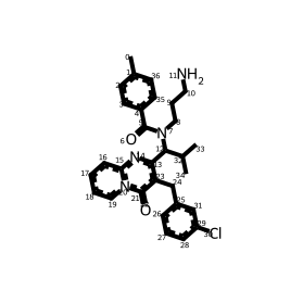 Cc1ccc(C(=O)N(CCCN)C(c2nc3ccccn3c(=O)c2Cc2cccc(Cl)c2)C(C)C)cc1